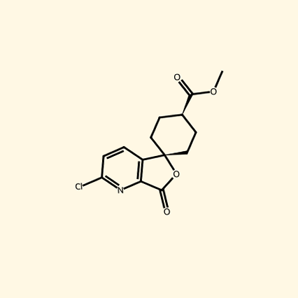 COC(=O)[C@H]1CC[C@@]2(CC1)OC(=O)c1nc(Cl)ccc12